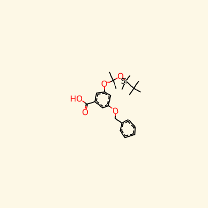 CC(C)(Oc1cc(OCc2ccccc2)cc(C(=O)O)c1)O[Si](C)(C)C(C)(C)C